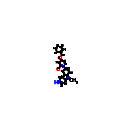 Cn1c2c(c3cc(-n4ccc(OCc5ccccc5)cc4=O)ccc31)CNCC2